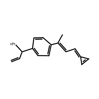 C=CC(CCC)c1ccc(/C(C)=C/C=C2C=C2)cc1